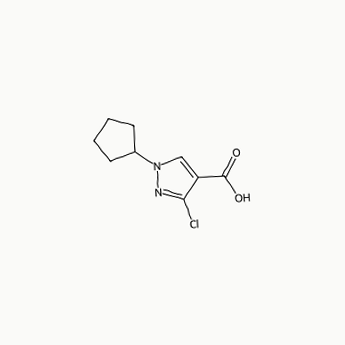 O=C(O)c1cn(C2CCCC2)nc1Cl